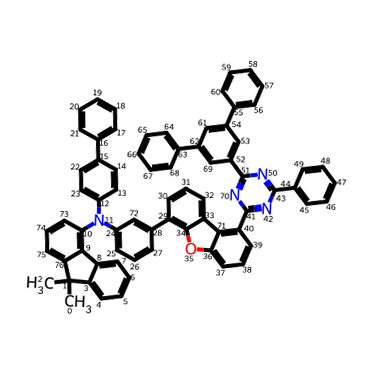 CC1(C)c2ccccc2-c2c(N(c3ccc(-c4ccccc4)cc3)c3cccc(-c4cccc5c4oc4cccc(-c6nc(-c7ccccc7)nc(-c7cc(-c8ccccc8)cc(-c8ccccc8)c7)n6)c45)c3)cccc21